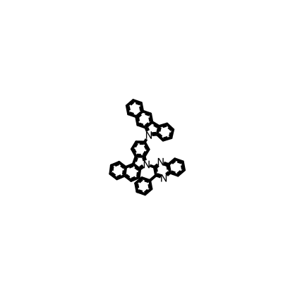 c1ccc(-c2nc3ccccc3nc2-n2c3cc(-n4c5ccccc5c5cc6ccccc6cc54)ccc3c3c4ccccc4ccc32)cc1